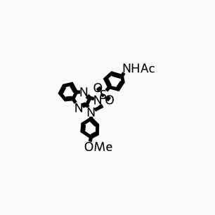 COc1ccc(N2CN(S(=O)(=O)c3ccc(NC(C)=O)cc3)c3nc4ccccc4nc32)cc1